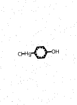 Oc1cc[c]([Hg][Cl])cc1